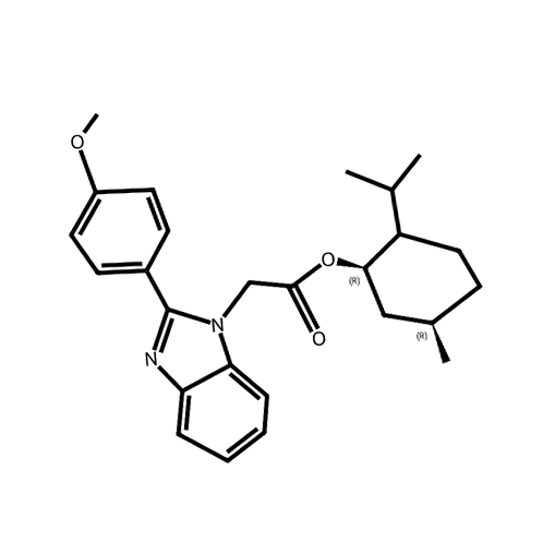 COc1ccc(-c2nc3ccccc3n2CC(=O)O[C@@H]2C[C@H](C)CCC2C(C)C)cc1